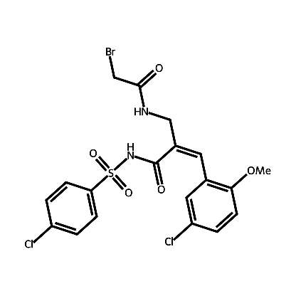 COc1ccc(Cl)cc1C=C(CNC(=O)CBr)C(=O)NS(=O)(=O)c1ccc(Cl)cc1